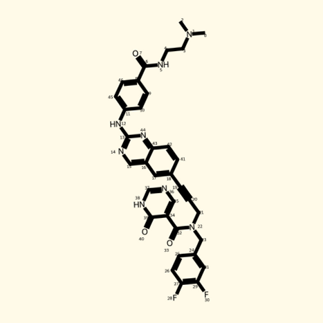 CN(C)CCNC(=O)c1ccc(Nc2ncc3cc(C#CCN(Cc4ccc(F)c(F)c4)C(=O)c4cnc[nH]c4=O)ccc3n2)cc1